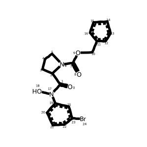 O=C(C1CCCN1C(=O)OCc1ccccc1)N(O)c1cccc(Br)c1